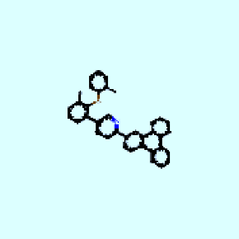 Cc1ccccc1Sc1c(C)cccc1-c1ccc(-c2ccc3c4ccccc4c4ccccc4c3c2)nc1